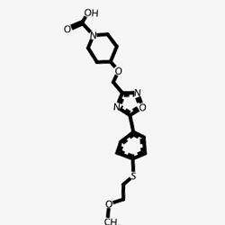 COCCSc1ccc(-c2nc(COC3CCN(C(=O)O)CC3)no2)cc1